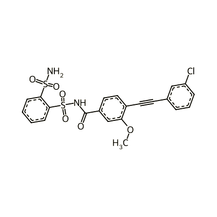 COc1cc(C(=O)NS(=O)(=O)c2ccccc2S(N)(=O)=O)ccc1C#Cc1cccc(Cl)c1